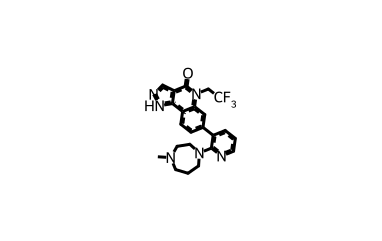 CN1CCCN(c2ncccc2-c2ccc3c4[nH]ncc4c(=O)n(CC(F)(F)F)c3c2)CC1